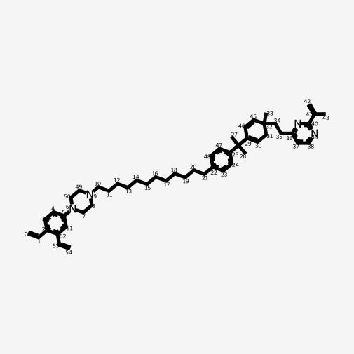 C=Cc1ccc(N2CCN(CCCCCCCCCCCCc3ccc(C(C)(C)C4=CCC(C)(CCc5ccnc(C(=C)C)n5)C=C4)cc3)CC2)cc1C=C